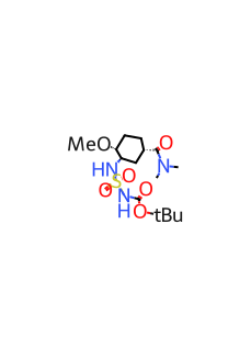 CO[C@@H]1CC[C@H](C(=O)N(C)C)C[C@H]1NS(=O)(=O)NC(=O)OC(C)(C)C